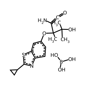 CC(C)(O)C(C)(Oc1ccc2nc(C3CC3)sc2c1)C(N)=C=O.OB(O)O